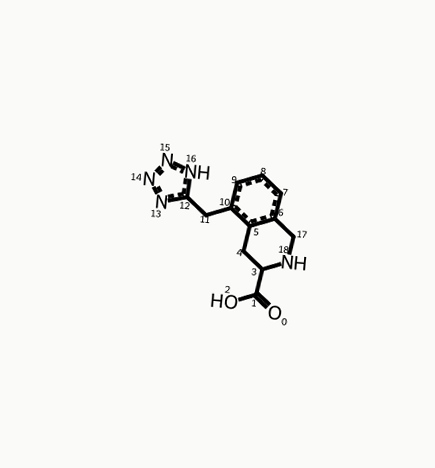 O=C(O)C1Cc2c(cccc2Cc2nnn[nH]2)CN1